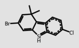 CC1(C)C=C(Br)C=C2[SiH]=c3cc(Cl)ccc3=C21